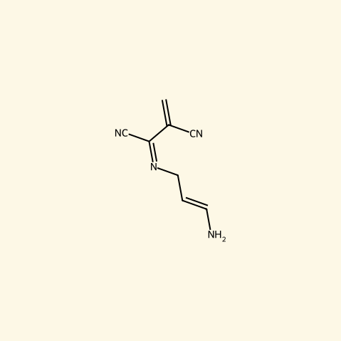 C=C(C#N)/C(C#N)=N\C/C=C/N